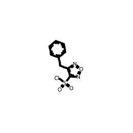 O=S(=O)(Cl)c1nonc1Cc1ccccc1